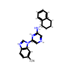 N#Cc1ccc2ncn(-c3cncc(N[C@H]4CCCc5ccccc54)n3)c2c1